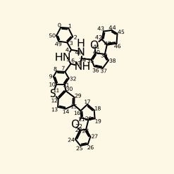 c1ccc(C2NC(c3ccc4sc5ccc(-c6cccc7c6oc6ccccc67)cc5c4c3)NC(c3cccc4c3oc3ccccc34)N2)cc1